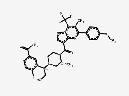 COc1ccc(-c2nc3c(C(=O)N4CCN([C@@H](CO)c5cc(C(C)=O)ccc5F)C[C@H]4C)cnn3c(C(F)(F)F)c2C)cc1